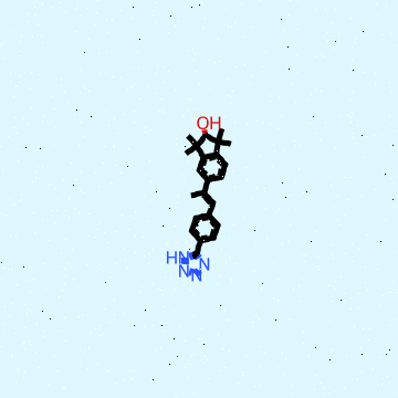 CC(=Cc1ccc(-c2nnn[nH]2)cc1)c1ccc2c(c1)C(C)(C)C(O)C2(C)C